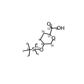 CC(C)(C)[Si](C)(C)OC1CCC(C(=O)O)OC1